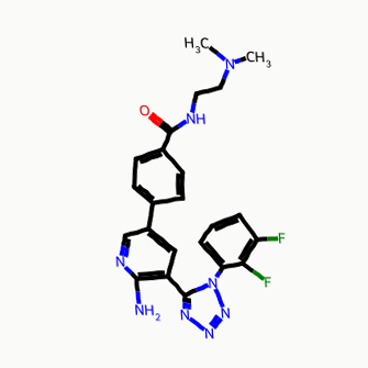 CN(C)CCNC(=O)c1ccc(-c2cnc(N)c(-c3nnnn3-c3cccc(F)c3F)c2)cc1